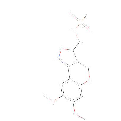 COc1cc2c(cc1OC)C1=NOC(COS(C)(=O)=O)C1CO2